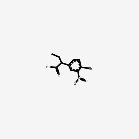 CCC(C(=O)O)c1ccc(Br)c([N+](=O)[O-])c1